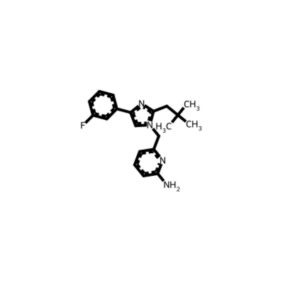 CC(C)(C)Cc1nc(-c2cccc(F)c2)cn1Cc1cccc(N)n1